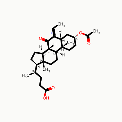 C/C=C1/C(=O)[C@@H]2[C@H](CC[C@]3(C)[C@@H]([C@H](C)CCC(=O)O)CC[C@@H]23)[C@@]2(C)CC[C@@H](OC(C)=O)C[C@@H]12